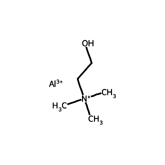 C[N+](C)(C)CCO.[Al+3]